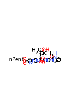 CCCCCOC(=O)c1ccc(N2CCN(C(=O)[C@@H](Cc3cc(C)c(O)c(C)c3)OC(=O)N3CCC(N4CCc5ccccc5NC4=O)CC3)CC2)nc1